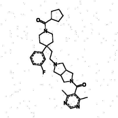 Cc1ncnc(C)c1C(=O)N1CC2CN(CCC3(c4cccc(F)c4)CCN(C(=O)C4CCCC4)CC3)CC2C1